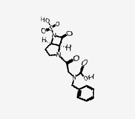 O=C(O)N(CC(=O)N1CC[C@@H]2[C@H]1C(=O)N2S(=O)(=O)O)Cc1ccccc1